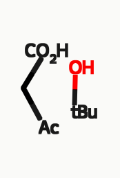 CC(=O)CC(=O)O.CC(C)(C)O